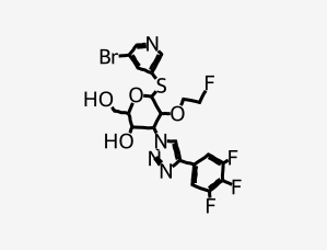 OCC1OC(Sc2cncc(Br)c2)C(OCCF)C(n2cc(-c3cc(F)c(F)c(F)c3)nn2)C1O